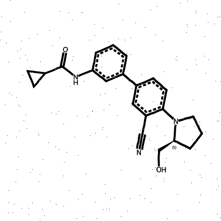 N#Cc1cc(-c2cccc(NC(=O)C3CC3)c2)ccc1N1CCC[C@H]1CO